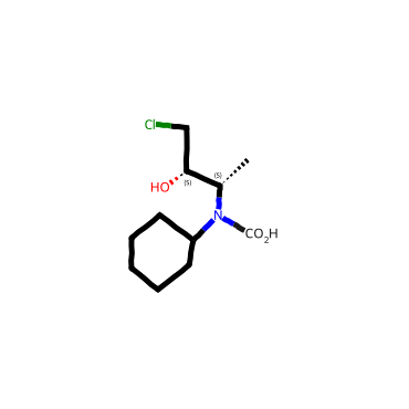 C[C@@H]([C@H](O)CCl)N(C(=O)O)C1CCCCC1